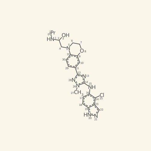 CC(C)NC(O)CN1CCOc2cc(-c3nc(Nc4ccc5[nH]ncc5c4Cl)n(C)n3)ccc21